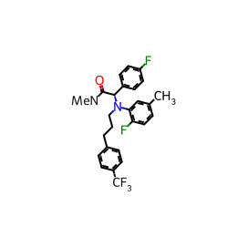 CNC(=O)[C@@H](c1ccc(F)cc1)N(CCCc1ccc(C(F)(F)F)cc1)c1cc(C)ccc1F